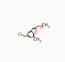 COCc1cc2cc(CCl)cc(C)c2o1